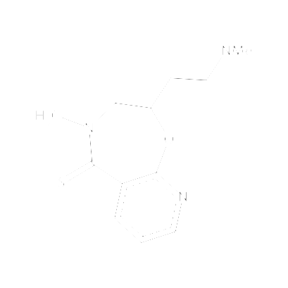 CNCCC1CN(C)C(=S)c2cccnc2O1